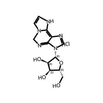 Cl.OC[C@H]1O[C@@H](n2cnc3c2=NCN2C=CNC=32)[C@H](O)[C@@H]1O